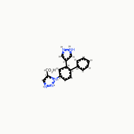 O=C(O)c1cnnn1-c1ccc(-c2ccccc2)c(-c2cn[nH]c2)c1